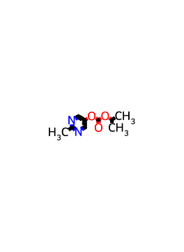 Cc1ncc(OC(=O)OC(C)C)cn1